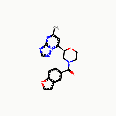 Cc1cc([C@@H]2CN(C(=O)c3ccc4occc4c3)CCO2)n2ncnc2n1